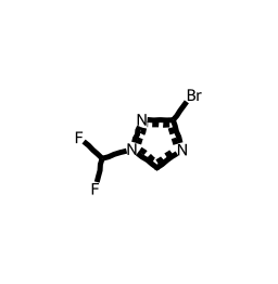 FC(F)n1cnc(Br)n1